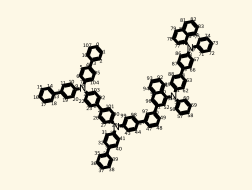 c1ccc(-c2ccc(N(c3ccc(-c4ccccc4)cc3)c3ccc(-c4ccc(N(c5ccc(-c6ccccc6)cc5)c5ccc(-c6cccc(-c7cc(N(c8ccccc8)c8ccc(-c9ccc(N(c%10ccccc%10)c%10cccc%11ccccc%10%11)cc9)cc8)c8ccccc8c7)c6)cc5)cc4)cc3)cc2)cc1